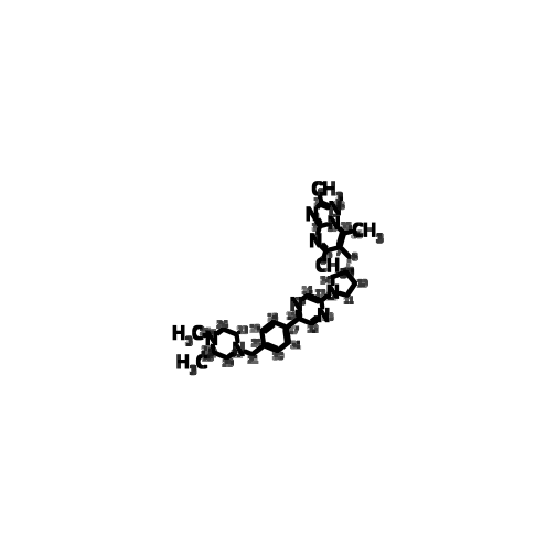 Cc1nc2nc(C)c(C[C@@H]3CCN(c4cnc(-c5ccc(CN6CCN(C)[C@@H](C)C6)cc5)cn4)C3)c(C)n2n1